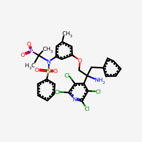 Cc1cc(OCC(N)(Cc2ccccc2)c2c(Cl)c(Cl)nc(Cl)c2Cl)cc(N(C(C)(C)P(=O)=O)S(=O)(=O)c2ccccc2)c1